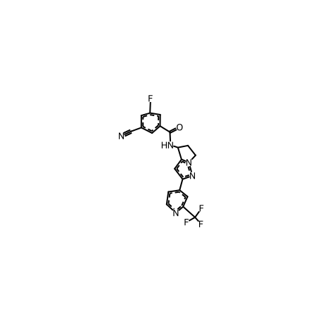 N#Cc1cc(F)cc(C(=O)NC2CCn3nc(-c4ccnc(C(F)(F)F)c4)cc32)c1